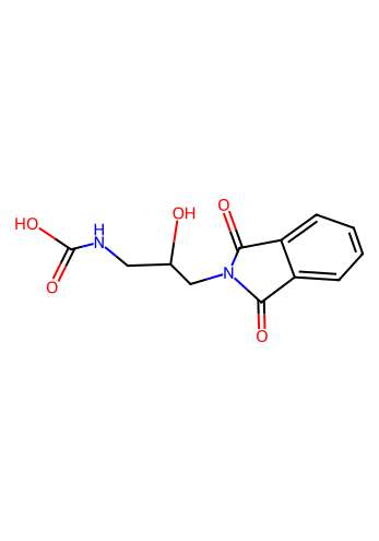 O=C(O)NCC(O)CN1C(=O)c2ccccc2C1=O